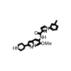 COc1cn2nc(C3CCNCC3)cc2cc1NC(=O)c1ccn(-c2cccc(C)c2)n1